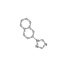 c1ccc2cc(-n3cncn3)ccc2c1